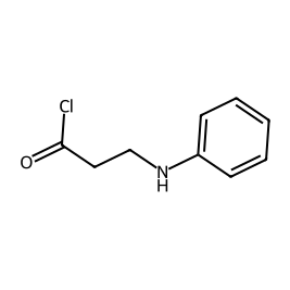 O=C(Cl)CCNc1ccccc1